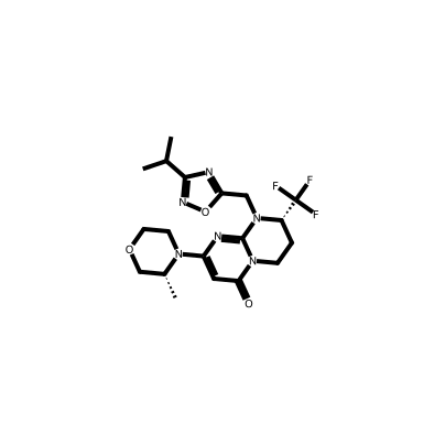 CC(C)c1noc(CN2c3nc(N4CCOC[C@H]4C)cc(=O)n3CC[C@H]2C(F)(F)F)n1